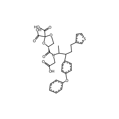 CC(C(CCc1ccsc1)c1ccc(Oc2ccccc2)cc1)N(CC(=O)O)C(=O)[C@@H]1COC(C(=O)O)(C(=O)O)O1